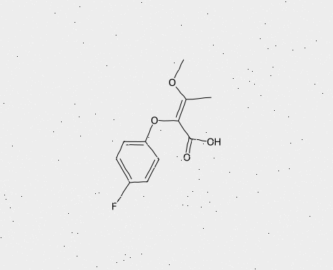 COC(C)=C(Oc1ccc(F)cc1)C(=O)O